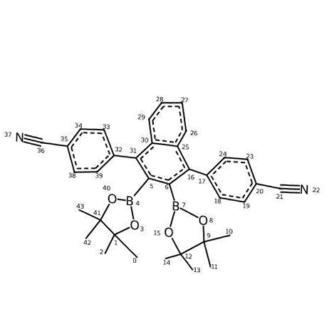 CC1(C)OB(c2c(B3OC(C)(C)C(C)(C)O3)c(-c3ccc(C#N)cc3)c3ccccc3c2-c2ccc(C#N)cc2)OC1(C)C